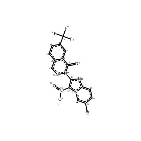 O=c1c2cc(C(F)(F)F)ccc2cnn1-c1nc2ccc(Br)cn2c1[N+](=O)[O-]